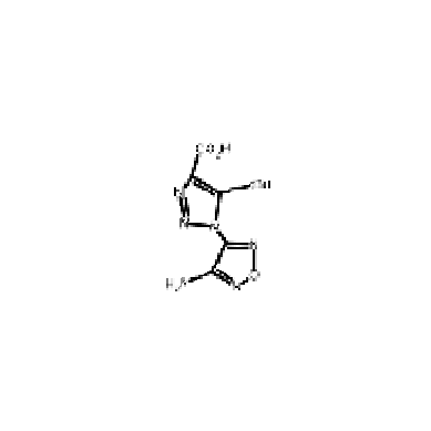 CC(C)(C)c1c(C(=O)O)nnn1-c1nonc1N